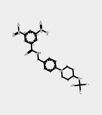 O=C(NCc1ccc(N2CCC(OC(F)(F)F)CC2)cc1)c1cc([N+](=O)[O-])cc([N+](=O)[O-])c1